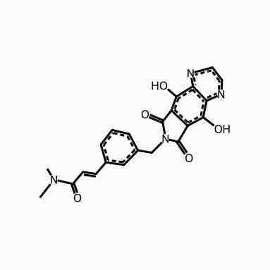 CN(C)C(=O)/C=C/c1cccc(CN2C(=O)c3c(c(O)c4nccnc4c3O)C2=O)c1